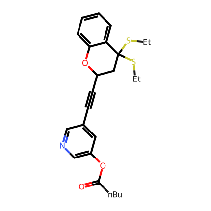 CCCCC(=O)Oc1cncc(C#CC2CC(SCC)(SCC)c3ccccc3O2)c1